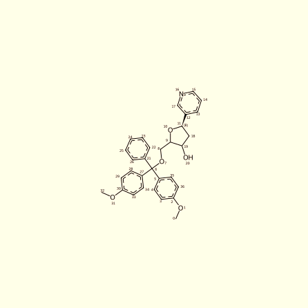 COc1ccc(C(OCC2O[C@@H](c3cccnc3)CC2O)(c2ccccc2)c2ccc(OC)cc2)cc1